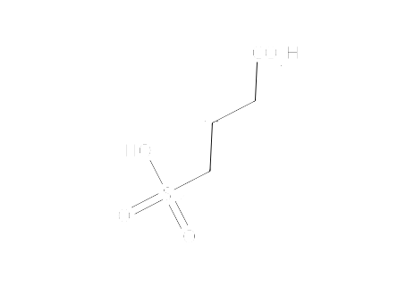 O=C(O)C[CH]CS(=O)(=O)O